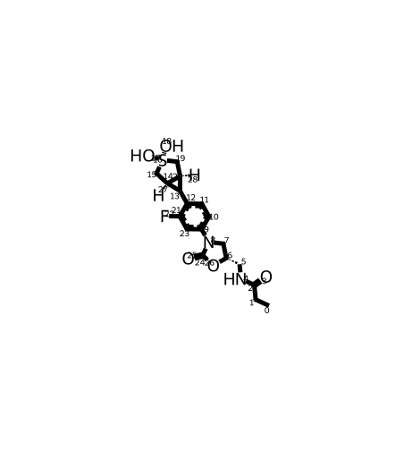 CCC(=O)NC[C@H]1CN(c2ccc(C3[C@H]4CS(O)(O)C[C@@H]34)c(F)c2)C(=O)O1